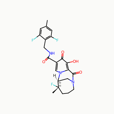 Cc1cc(F)c(CNC(=O)c2cn3c(c(O)c2=O)C(=O)N2CCC[C@](C)(F)[C@@H]3C2)c(F)c1